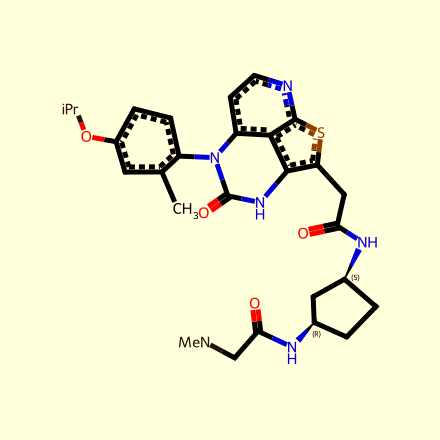 CNCC(=O)N[C@@H]1CC[C@H](NC(=O)Cc2sc3nccc4c3c2NC(=O)N4c2ccc(OC(C)C)cc2C)C1